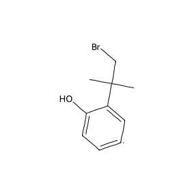 CC(C)(CBr)c1c[c]ccc1O